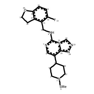 CSN1CCC(c2cnc(NCc3c(F)ccc4c3CCO4)n3cnnc23)CC1